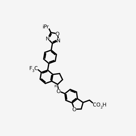 CC(C)c1nc(-c2ccc(-c3c(C(F)(F)F)ccc4c3CC[C@H]4Oc3ccc4c(c3)OCC4CC(=O)O)cc2)no1